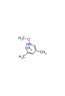 CON/C=C(/C)C=C(C)C